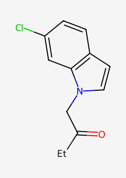 CCC(=O)Cn1ccc2ccc(Cl)cc21